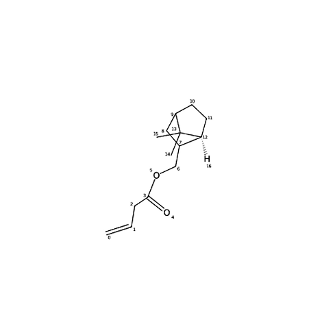 C=CCC(=O)OCC1CC2CC[C@@H]1C2(C)C